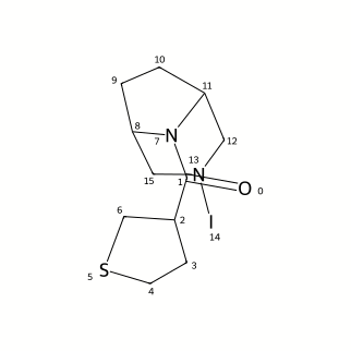 O=C(C1CCSC1)N1C2CCC1CN(I)C2